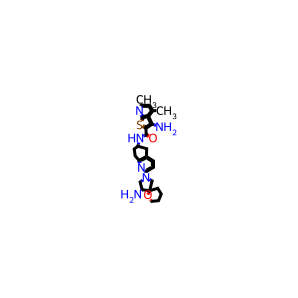 Cc1cc(C)c2c(N)c(C(=O)NC3CCc4nc(N5CC(N)C6(CCCCO6)C5)ccc4C3)sc2n1